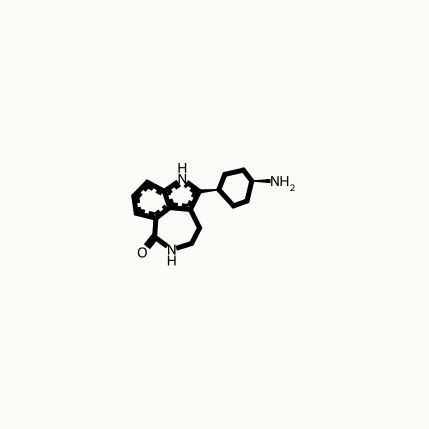 N[C@H]1CC[C@@H](c2[nH]c3cccc4c3c2CCNC4=O)CC1